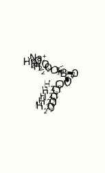 O.O.O.O.O.O.O.O.[Na+].[O-]B1OO1